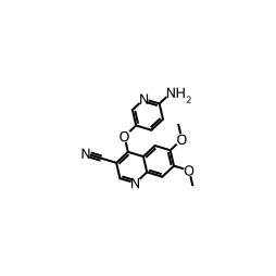 COc1cc2ncc(C#N)c(Oc3ccc(N)nc3)c2cc1OC